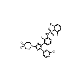 O=S1(=O)CCN(c2nc(-c3cccc(NS(=O)(=O)c4c(F)cccc4F)c3F)c(-c3ccnc(Cl)n3)s2)CC1